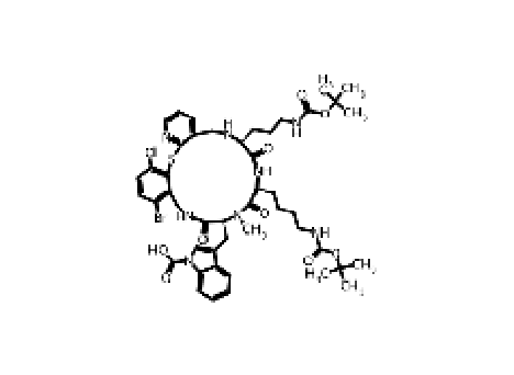 CN1C(=O)[C@H](CCCCNC(=O)OC(C)(C)C)NC(=O)[C@H](CCCNC(=O)OC(C)(C)C)NCc2cccnc2Sc2c(Cl)ccc(Br)c2CNC(=O)[C@@H]1Cc1cn(C(=O)O)c2ccccc12